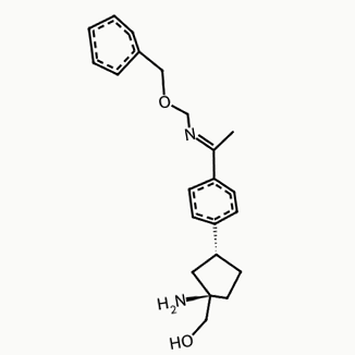 C/C(=N\COCc1ccccc1)c1ccc([C@@H]2CC[C@](N)(CO)C2)cc1